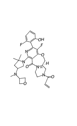 C=CC(=O)N1CCN2C(=O)c3c(N4CC(N(C)C5COC5)CC4(C)C)nc(-c4c(O)cccc4F)c(F)c3OC[C@H]2C1